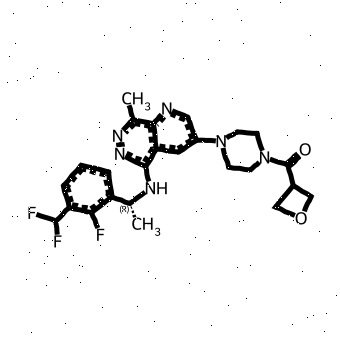 Cc1nnc(N[C@H](C)c2cccc(C(F)F)c2F)c2cc(N3CCN(C(=O)C4COC4)CC3)cnc12